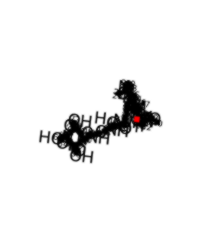 CCOc1ccc(C(=O)N2CCN(c3ccc(-c4cccnc4OCC)nc3CNCCCNC(=O)[C@H](N)CC(=O)NCCOCCNC(=O)CN3CCN(CC(=O)O)CCN(CC(=O)O)CCN(CC(=O)O)CC3)[C@H](CC)C2)c(C(F)(F)F)n1